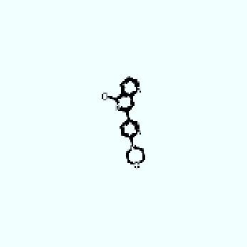 Clc1nc(-c2ccc(N3CCOCC3)nc2)cc2ncccc12